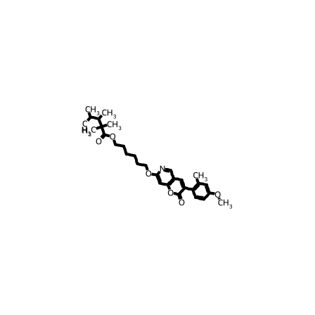 COc1ccc(-c2cc3cnc(OCCCCCCOC(=O)C(C)(C)C(C)C(C)C)cc3oc2=O)c(C)c1